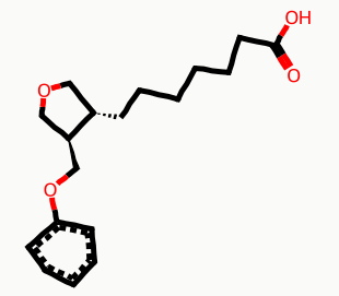 O=C(O)CCCCCC[C@H]1COC[C@@H]1COc1ccccc1